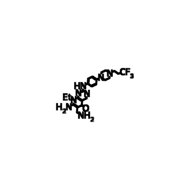 CCn1c(N)c(CN)c(=O)c2cnc(Nc3ccc(N4CCN(CCC(F)(F)F)CC4)cc3)nc21